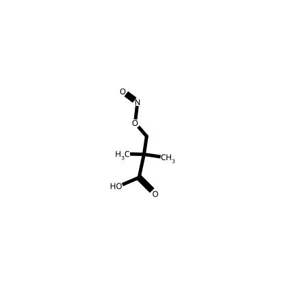 CC(C)(CON=O)C(=O)O